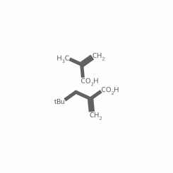 C=C(C)C(=O)O.C=C(CC(C)(C)C)C(=O)O